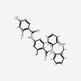 Cc1cc(NC(=O)c2ccc(Cl)cc2Cl)ccc1C(=O)N1c2ccccc2CNc2ccccc21